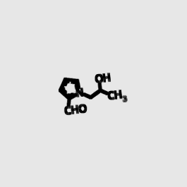 CC(O)Cn1cccc1C=O